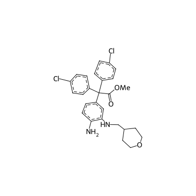 COC(=O)C(c1ccc(Cl)cc1)(c1ccc(Cl)cc1)c1ccc(N)c(NCC2CCOCC2)c1